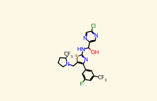 OC(Nc1nc(-c2cc(F)cc(C(F)(F)F)c2)c(CN2CCC[C@H]2C(F)(F)F)s1)c1cnc(Cl)cn1